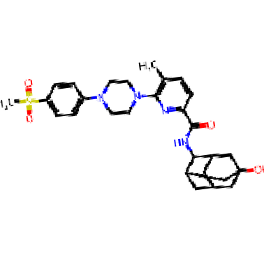 Cc1ccc(C(=O)NC2C3CC4CC2CC(O)(C4)C3)nc1N1CCN(c2ccc(S(C)(=O)=O)cc2)CC1